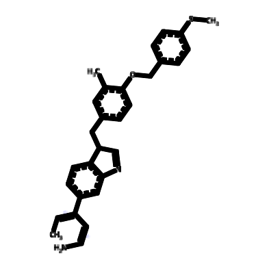 C/C=C(\C=C/N)c1ccc2c(c1)N=CC2Cc1ccc(OCc2ccc(SC)cc2)c(C)c1